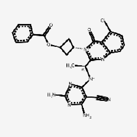 C[C@H](Nc1nc(N)nc(N)c1C#N)c1nc2cccc(Cl)c2c(=O)n1[C@H]1C[C@H](OC(=O)c2ccccc2)C1